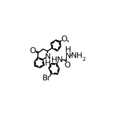 COc1ccc(C2CC(=O)c3ccccc3N2)cc1.NNC(=O)Nc1ccc(Br)cc1